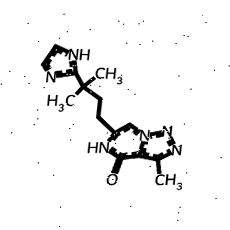 Cc1nnn2cc(CCC(C)(C)c3ncc[nH]3)[nH]c(=O)c12